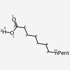 [2H]OC(=O)CCCCCCCCCCC